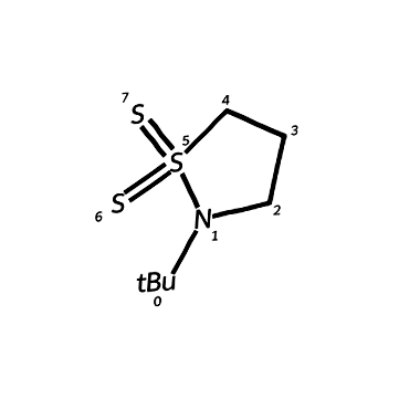 CC(C)(C)N1CCCS1(=S)=S